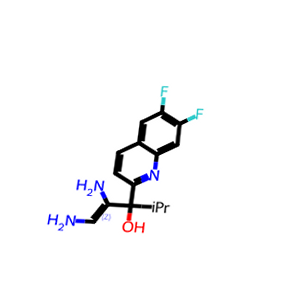 CC(C)C(O)(/C(N)=C/N)c1ccc2cc(F)c(F)cc2n1